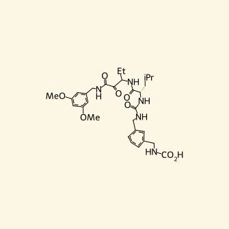 CCC(NC(=O)[C@H](CC(C)C)NC(=O)NCc1cccc(CNC(=O)O)c1)C(=O)C(=O)NCc1cc(OC)cc(OC)c1